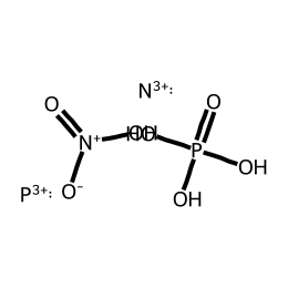 O=P(O)(O)O.O=[N+]([O-])O.[N+3].[P+3]